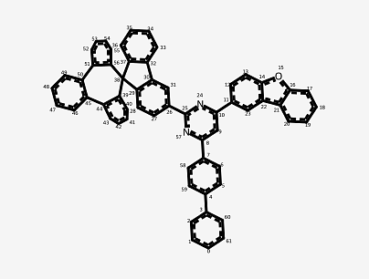 c1ccc(-c2ccc(-c3cc(-c4ccc5oc6ccccc6c5c4)nc(-c4ccc5c(c4)-c4ccccc4C54c5ccccc5-c5ccccc5-c5ccccc54)n3)cc2)cc1